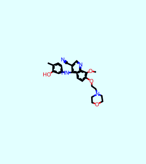 COc1c(OCCN2CCOCC2)ccc2c(Nc3ccc(C)c(O)c3)c(C#N)cnc12